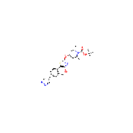 CC1CC(Oc2nc3c(s2)-c2ccc(-c4cn[nH]c4)cc2CO3)CC(C)N1C(=O)OC(C)(C)C